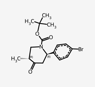 C[C@@H]1CN(C(=O)OC(C)(C)C)[C@@H](c2ccc(Br)cc2)CC1=O